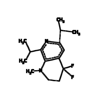 CC(C)c1cc2c(c(C(C)C)n1)N(C)CCC2(F)F